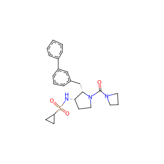 O=C(N1CCC1)N1CC[C@H](NS(=O)(=O)C2CC2)[C@@H]1Cc1cccc(-c2ccccc2)c1